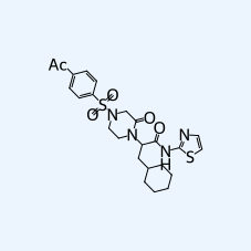 CC(=O)c1ccc(S(=O)(=O)N2CCN(C(CC3CCCCC3)C(=O)Nc3nccs3)C(=O)C2)cc1